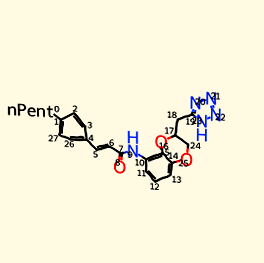 CCCCCc1ccc(C=CC(=O)Nc2cccc3c2OC(Cc2nnn[nH]2)CO3)cc1